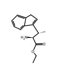 CCOC(=O)[C@@H](N)[C@@H](C)C1=CCc2ccccc21